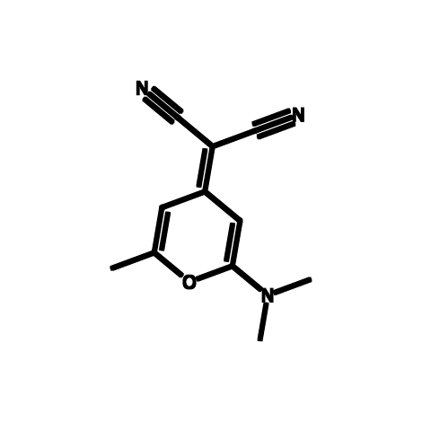 CC1=CC(=C(C#N)C#N)C=C(N(C)C)O1